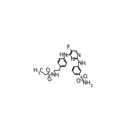 CCS(=O)(=O)NCCc1ccc(Nc2nc(Nc3cccc(S(N)(=O)=O)c3)ncc2F)cc1